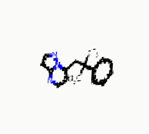 O=C(O)C(Cc1ccnc2ccnn12)(c1ccccc1)C(F)(F)F